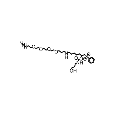 [N-]=[N+]=NCCOCCOCCOCCOCCCNCCCCCC(CS(=O)(=O)c1ccccc1)OC(=O)NCCCO